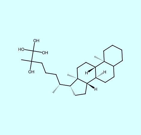 C[C@H](CCCC(C)(O)C(O)(O)O)[C@H]1CC[C@H]2[C@@H]3CCC4CCCC[C@]4(C)[C@H]3CC[C@]12C